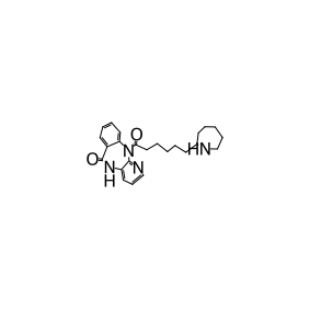 O=C1Nc2cccnc2N(C(=O)CCCCCC2CCCCCN2)c2ccccc21